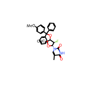 COc1ccc(C(O[C@H]2[C@@H](F)[C@H](n3cc(C)c(=O)[nH]c3=O)O[C@@H]2C=O)(c2ccccc2)c2ccccc2)cc1